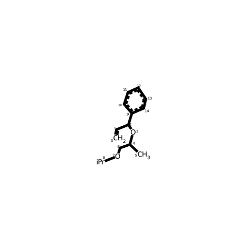 C=CC(OC(C)COC(C)C)c1ccccc1